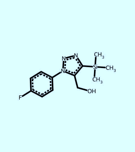 C[Si](C)(C)c1nnn(-c2ccc(F)cc2)c1CO